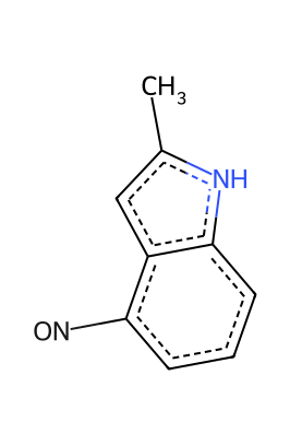 Cc1cc2c(N=O)cccc2[nH]1